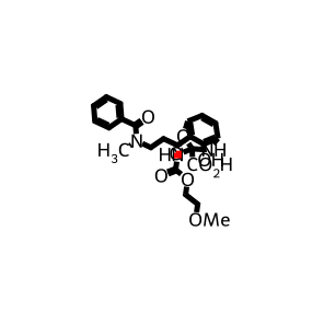 COCCOC(=O)NC1(C(=O)O)Nc2ccc(c(C(=O)CCN(C)C(=O)c3ccccc3)c2O)O1